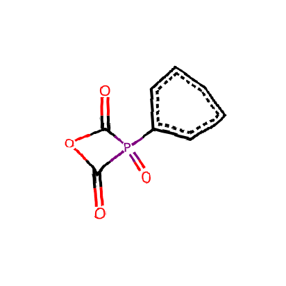 O=C1OC(=O)P1(=O)c1ccccc1